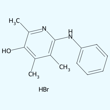 Br.Cc1nc(Nc2ccccc2)c(C)c(C)c1O